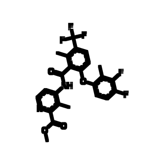 COC(=O)c1nccc(NC(=O)c2c(Oc3ccc(F)c(F)c3C)ccc(C(F)(F)F)c2C)c1C